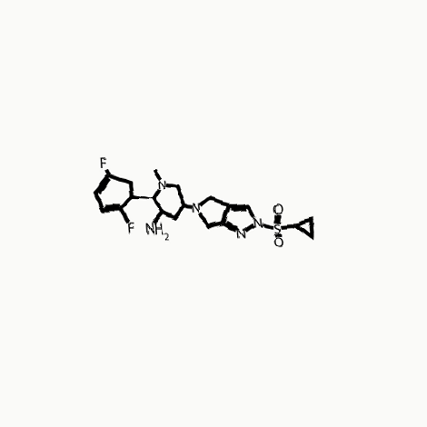 CN1CC(N2Cc3cn(S(=O)(=O)C4CC4)nc3C2)CC(N)[C@H]1C1CC(F)=CC=C1F